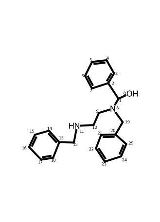 OC(c1ccccc1)N(CCNCc1ccccc1)Cc1ccccc1